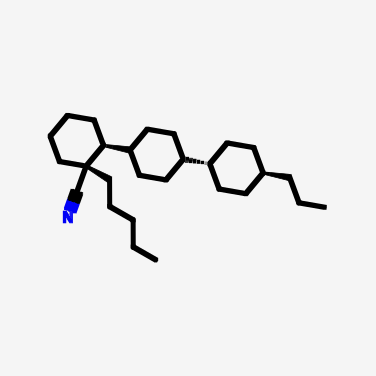 CCCCC[C@@]1(C#N)CCCC[C@H]1C1CCC([C@H]2CC[C@H](CCC)CC2)CC1